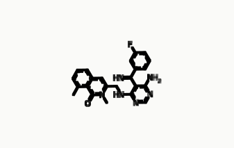 Cc1cccc2cc(CNc3ncnc(N)c3C(=N)c3cccc(F)c3)n(C)c(=O)c12